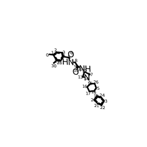 Cc1ccc(C(=O)NCC(=O)NC2CN([C@H]3CC[C@@H](c4ccccc4)CC3)C2)cc1C